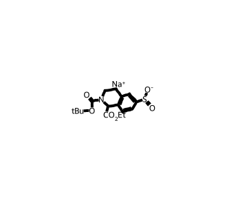 CCOC(=O)C1c2ccc(S(=O)[O-])cc2CCN1C(=O)OC(C)(C)C.[Na+]